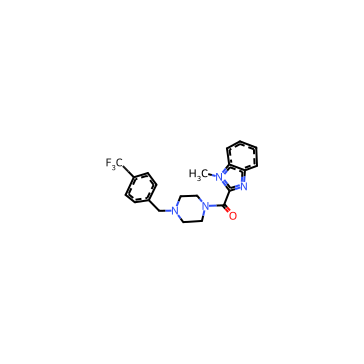 Cn1c(C(=O)N2CCN(Cc3ccc(C(F)(F)F)cc3)CC2)nc2ccccc21